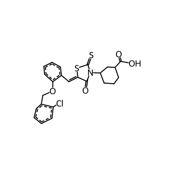 O=C(O)C1CCCC(N2C(=O)C(=Cc3ccccc3OCc3ccccc3Cl)SC2=S)C1